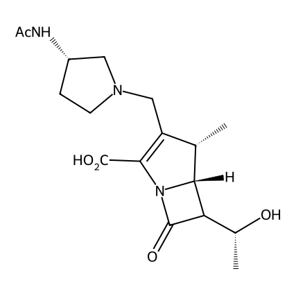 CC(=O)N[C@H]1CCN(CC2=C(C(=O)O)N3C(=O)C([C@@H](C)O)[C@H]3[C@H]2C)C1